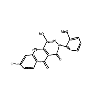 COc1ccccc1-n1nc(O)c2[nH]c3cc(Cl)ccc3c(=O)c2c1=O